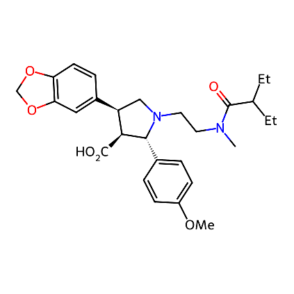 CCC(CC)C(=O)N(C)CCN1C[C@H](c2ccc3c(c2)OCO3)[C@H](C(=O)O)[C@H]1c1ccc(OC)cc1